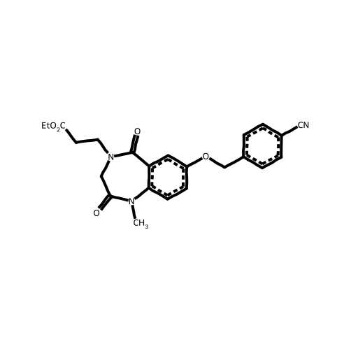 CCOC(=O)CCN1CC(=O)N(C)c2ccc(OCc3ccc(C#N)cc3)cc2C1=O